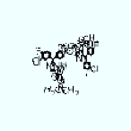 CN(C)C1CCN(S(=O)(=O)c2cnc(C(c3ccc(F)c(Cl)c3)c3ccc(F)c(Cl)c3)[nH]2)C1.CS(=O)(=O)CCn1c(S(=O)(=O)O)cnc1C(c1ccc(F)c(Cl)c1)c1ccc(F)c(Cl)c1